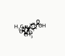 Cn1nc(N2CCN(C(=O)O)CC2)c(=O)n(C)c1=O